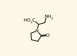 NCC(C(=O)O)N1CCCC1=O